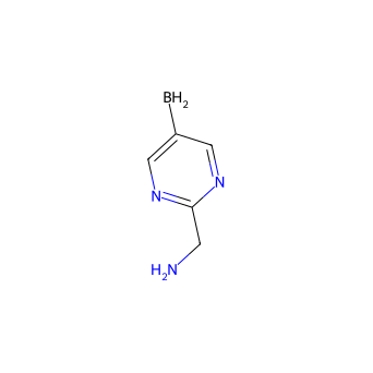 Bc1cnc(CN)nc1